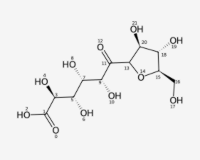 O=C(O)[C@@H](O)[C@@H](O)[C@H](O)[C@@H](O)C(=O)C1O[C@H](CO)[C@@H](O)[C@@H]1O